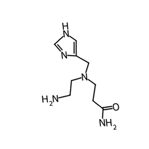 NCCN(CCC(N)=O)Cc1c[nH]cn1